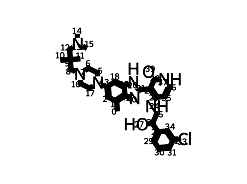 Cc1cc(N2CCN(CC(C)(C)CN(C)C)CC2)cc2[nH]c(-c3c(NCC(O)c4cccc(Cl)c4)cc[nH]c3=O)nc12